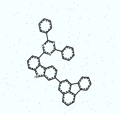 c1ccc(-c2nc(-c3ccccc3)nc(-c3cccc4[nH]c5cc(-c6cc7c8c(cccc8c6)-c6ccccc6-7)ccc5c34)n2)cc1